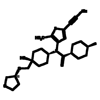 CC(C)(C)C#Cc1cc(N(C(=O)[C@H]2CC[C@H](C)CC2)[C@H]2CC[C@@](O)(CO[C@H]3CCOC3)CC2)c(C(=O)O)s1